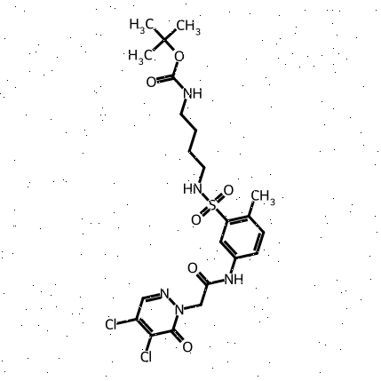 Cc1ccc(NC(=O)Cn2ncc(Cl)c(Cl)c2=O)cc1S(=O)(=O)NCCCCNC(=O)OC(C)(C)C